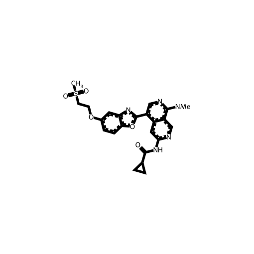 CNc1ncc(-c2nc3cc(OCCS(C)(=O)=O)ccc3o2)c2cc(NC(=O)C3CC3)ncc12